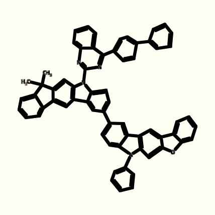 CC1(C)c2ccccc2-c2cc3c4cc(-c5ccc6c(c5)c5cc7c(cc5n6-c5ccccc5)oc5ccccc57)ccc4n(-c4nc(-c5ccc(-c6ccccc6)cc5)c5ccccc5n4)c3cc21